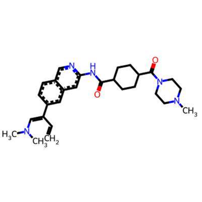 C=C/C(=C\N(C)C)c1ccc2cnc(NC(=O)C3CCC(C(=O)N4CCN(C)CC4)CC3)cc2c1